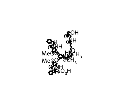 COc1cc2c(cc1OCc1cc(COc3cc4c(cc3OC)C(=O)N3c5ccccc5C[C@H]3C(S(=O)(=O)O)N4)cc(NC(=O)[C@H](C)NC(=O)[C@H](C)NC(=O)CCCCC(=O)NCCN3C(=O)C=CC3O)c1)NC[C@@H]1Cc3ccccc3N1C2=O